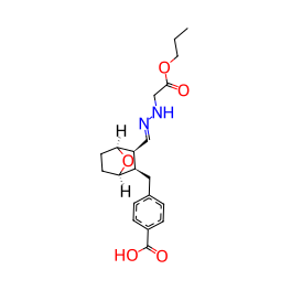 CCCOC(=O)CNN=C[C@H]1[C@@H](Cc2ccc(C(=O)O)cc2)[C@H]2CC[C@@H]1O2